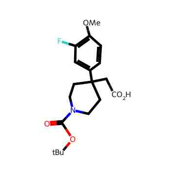 COc1ccc(C2(CC(=O)O)CCN(C(=O)OC(C)(C)C)CC2)cc1F